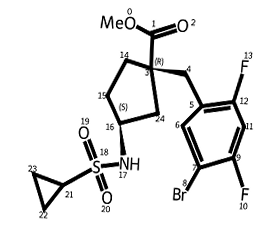 COC(=O)[C@@]1(Cc2cc(Br)c(F)cc2F)CC[C@H](NS(=O)(=O)C2CC2)C1